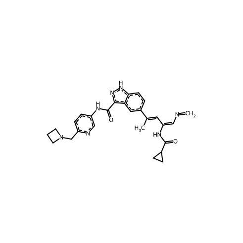 C=N/C=C(\C=C(/C)c1ccc2[nH]nc(C(=O)Nc3ccc(CN4CCC4)nc3)c2c1)NC(=O)C1CC1